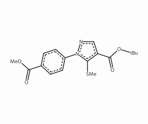 COC(=O)c1ccc(-n2ncc(C(=O)OC(C)(C)C)c2SC)cc1